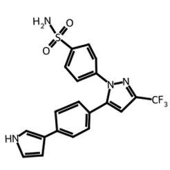 NS(=O)(=O)c1ccc(-n2nc(C(F)(F)F)cc2-c2ccc(-c3cc[nH]c3)cc2)cc1